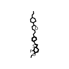 CCCC1CCC(C2CCC(CCc3ccc(-c4cc5ccc(OCC)c(F)c5s4)cc3)OC2)CC1